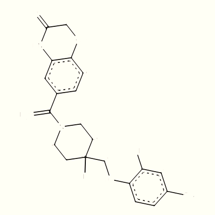 C=C(c1ccc2c(c1)NC(=O)CO2)N1CCC(F)(COc2ccc(F)cc2Cl)CC1